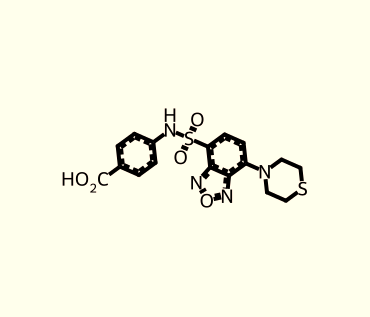 O=C(O)c1ccc(NS(=O)(=O)c2ccc(N3CCSCC3)c3nonc23)cc1